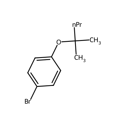 CCCC(C)(C)Oc1ccc(Br)cc1